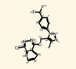 Cc1nnn(-c2ccc(C(F)F)cc2)c1COc1nnc(Cl)c2ncccc12